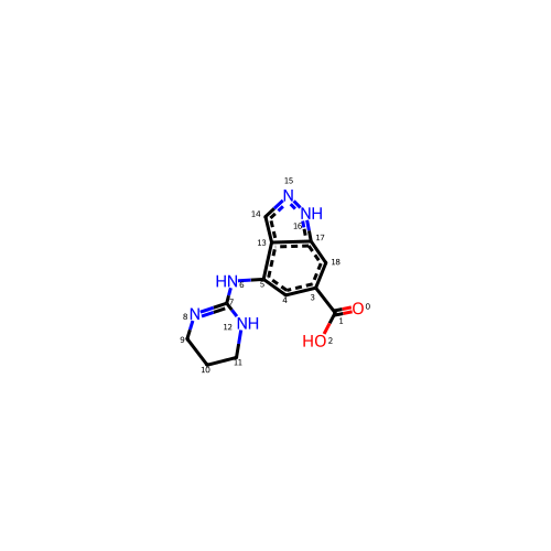 O=C(O)c1cc(NC2=NCCCN2)c2cn[nH]c2c1